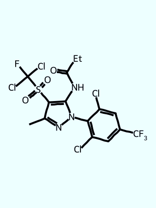 CCC(=O)Nc1c(S(=O)(=O)C(F)(Cl)Cl)c(C)nn1-c1c(Cl)cc(C(F)(F)F)cc1Cl